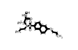 C=CCOc1ccc2cc(S(=O)(=O)N(CCC(C)C)[C@@H](C(=O)NO)C(C)C)ccc2c1